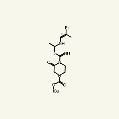 CC/C(C)=C/NC(C)SC(=N)N1CCN(C(=O)OC(C)(C)C)CC1=O